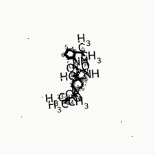 CC(C)c1ccccc1NC(=O)C1=C(O)C2(CCN(C(=O)OC(C)(C)C)CC2)CNC1=O